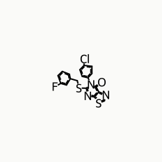 O=c1c2ncsc2nc(SCc2cccc(F)c2)n1-c1ccc(Cl)cc1